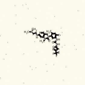 Cc1cc(F)c(NC(=O)Nc2cc(C(F)(F)F)no2)cc1N1Cc2cnc(NCCN(C)C)cc2N(C)C1=O